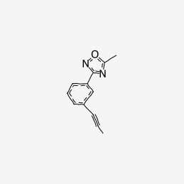 CC#Cc1cccc(-c2noc(C)n2)c1